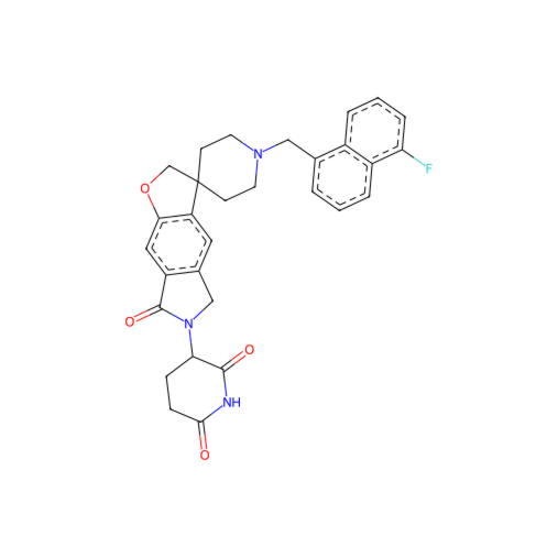 O=C1CCC(N2Cc3cc4c(cc3C2=O)OCC42CCN(Cc3cccc4c(F)cccc34)CC2)C(=O)N1